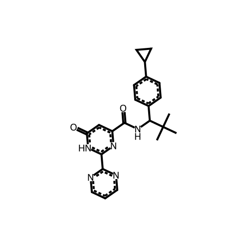 CC(C)(C)C(NC(=O)c1cc(=O)[nH]c(-c2ncccn2)n1)c1ccc(C2CC2)cc1